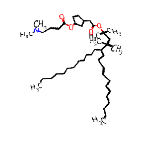 CCCCCCCCCCCCC(CCCCCCCCCCCC)C(C)(C)CC(C)(C)OC(=O)CC1CCC(OC(=O)CCCN(C)C)C1